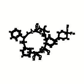 CC1(C)C[C@@H]2CC[C@H](c3ccccn3)Nc3cccc(n3)S(=O)(=O)NC(=O)c3ccc(C4CCC(F)(F)CC4)nc3N1C2